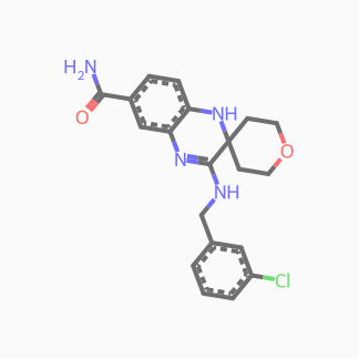 NC(=O)c1ccc2c(c1)N=C(NCc1cccc(Cl)c1)C1(CCOCC1)N2